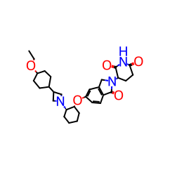 CCOC1CCC(C2CN([C@@H]3CCCC[C@H]3Oc3ccc4c(c3)CN(C3CCC(=O)NC3=O)C4=O)C2)CC1